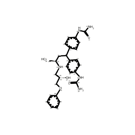 C[C@@H](CC(c1ccc(NC(N)=O)cc1)c1ccc(NC(N)=O)cc1)NC[C@H](O)COc1ccccc1.Cl